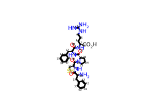 N=C(N)NCCC[C@H](NC(=O)[C@H](Cc1ccccc1)NC(=O)[C@@H]1CCCN1C(=O)[C@H](CS)NC(=O)[C@@H](N)Cc1ccccc1)C(=O)O